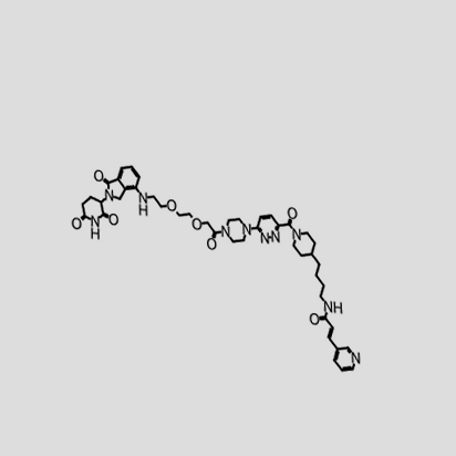 O=C(/C=C/c1cccnc1)NCCCCC1CCN(C(=O)c2ccc(N3CCN(C(=O)COCCOCCNc4cccc5c4CN(C4CCC(=O)NC4=O)C5=O)CC3)nn2)CC1